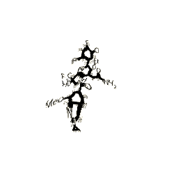 CCOc1c(CC(N)=O)cc([C@@](O)(CNC(=O)c2cc(OC)c3nn(C4CC4)cc3c2)C(F)(F)F)nc1-c1cc(Cl)c(F)cc1F